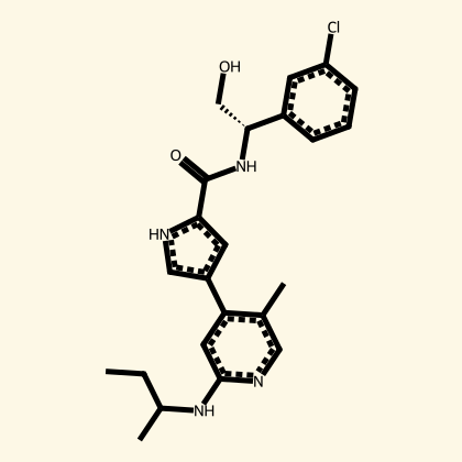 CCC(C)Nc1cc(-c2c[nH]c(C(=O)N[C@H](CO)c3cccc(Cl)c3)c2)c(C)cn1